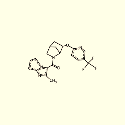 Cc1nc2sccn2c1C(=O)N1CC2CC(Oc3ccc(C(F)(F)F)cn3)C1C2